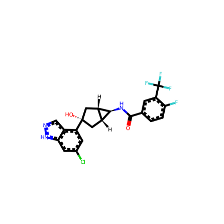 O=C(N[C@H]1[C@@H]2C[C@@](O)(c3cc(Cl)cc4[nH]ncc34)C[C@@H]21)c1ccc(F)c(C(F)(F)F)c1